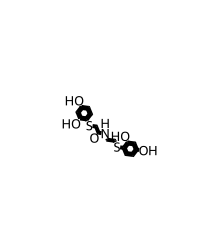 O=C(CSc1ccc(O)cc1O)NCCSc1ccc(O)cc1O